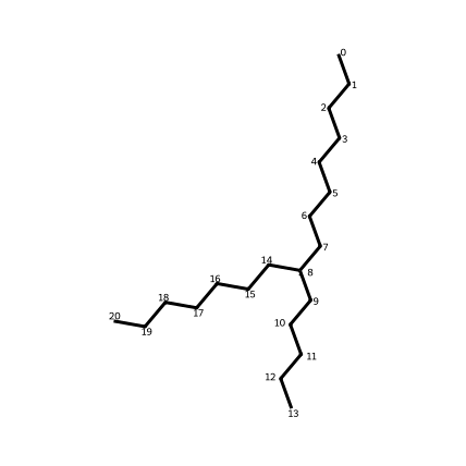 CCCCCCCC[C](CCCCC)CCCCCCC